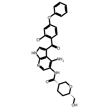 Nc1c(NC(=O)[C@H]2CC[C@@H](CO)OC2)cnc2[nH]cc(C(=O)c3ccc(Oc4ccccc4)cc3Cl)c12